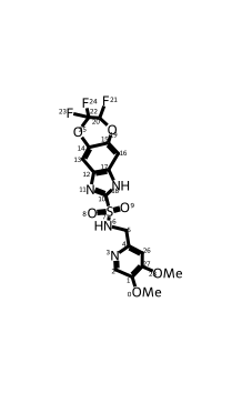 COc1cnc(CNS(=O)(=O)c2nc3cc4c(cc3[nH]2)OC(F)C(F)(F)O4)cc1OC